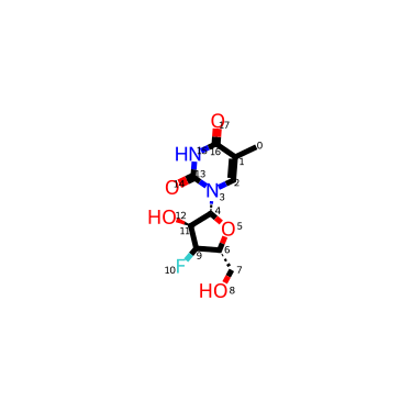 Cc1cn([C@@H]2O[C@H](CO)C(F)[C@H]2O)c(=O)[nH]c1=O